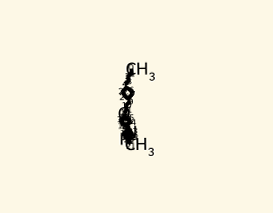 CCCCC[C@H]1CC[C@H](CCCOc2ccc(-c3cnc(C)cn3)cc2)CC1